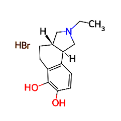 Br.CCN1C[C@H]2CCc3c(ccc(O)c3O)[C@@H]2C1